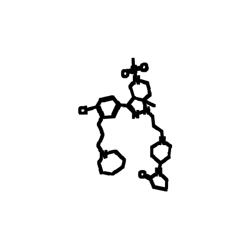 CC12CCN(S(C)(=O)=O)CC1C(c1ccc(Cl)c(CCCN3CCCCCC3)c1)=NN2CCCN1CCC(N2CCCC2=O)CC1